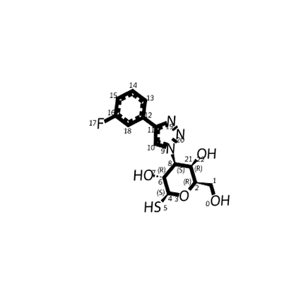 OC[C@H]1O[C@@H](S)[C@H](O)[C@@H](n2cc(-c3cccc(F)c3)nn2)[C@H]1O